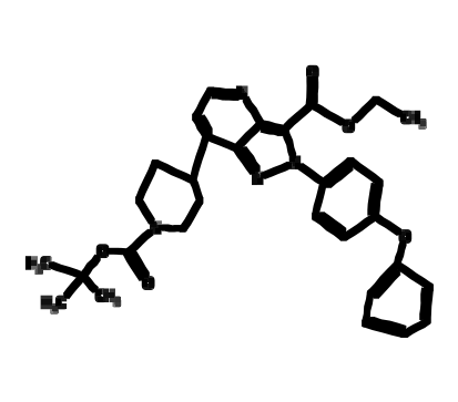 CCOC(=O)c1c2nccc(C3CCN(C(=O)OC(C)(C)C)CC3)c2nn1-c1ccc(Oc2ccccc2)cc1